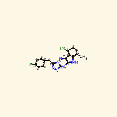 Cc1ccc(Cl)c2c1[nH]c1nc3nnc(Cc4ccc(F)cc4)n3nc12